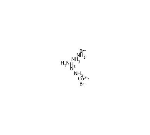 N.N.N.N.N.[Br-].[Br-].[Co+2]